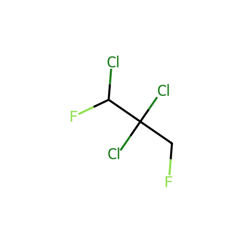 FCC(Cl)(Cl)C(F)Cl